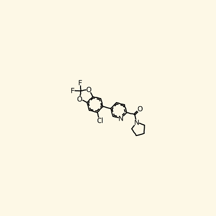 O=C(c1ccc(-c2cc3c(cc2Cl)OC(F)(F)O3)cn1)N1CCCC1